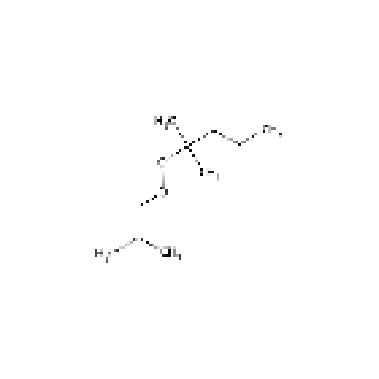 CCCC(C)(C)OOC[C](C)C